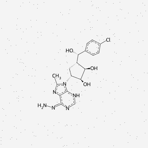 Cc1nc2/c(=N\N)nc[nH]c2n1[C@@H]1C[C@H]([C@H](O)c2ccc(Cl)cc2)[C@@H](O)[C@H]1O